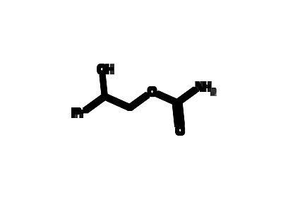 CC(C)C(O)COC(N)=O